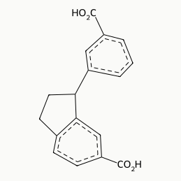 O=C(O)c1cccc(C2CCc3ccc(C(=O)O)cc32)c1